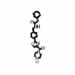 O=C(Cc1ccccc1)NCc1ccc(-c2nc(C(=O)N3CCNCC3)co2)cc1